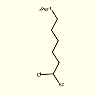 CCCCCCCCCCC(Cl)C(C)=O